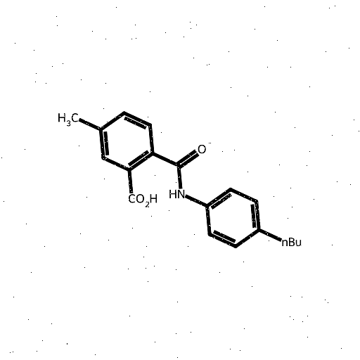 CCCCc1ccc(NC(=O)c2ccc(C)cc2C(=O)O)cc1